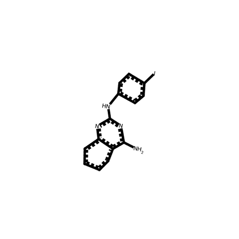 Nc1nc(Nc2ccc(I)cc2)nc2ccccc12